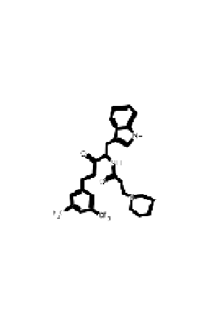 O=C(CCN1CCCCC1)NC(Cc1c[nH]c2ccccc12)C(=O)CCc1cc(C(F)(F)F)cc(C(F)(F)F)c1